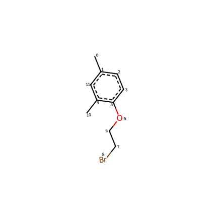 Cc1ccc(OCCBr)c(C)c1